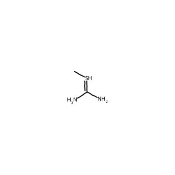 C[SH]=C(N)N